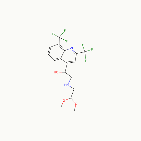 COC(CNCC(O)c1cc(C(F)(F)F)nc2c(C(F)(F)F)cccc12)OC